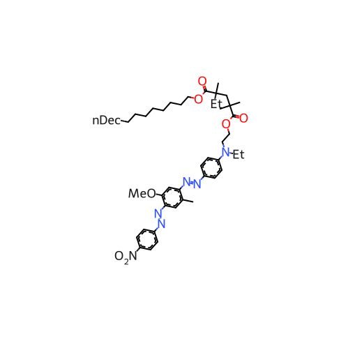 CCCCCCCCCCCCCCCCCCOC(=O)C(C)(CC)CC(C)(C)C(=O)OCCN(CC)c1ccc(/N=N/c2cc(OC)c(/N=N/c3ccc([N+](=O)[O-])cc3)cc2C)cc1